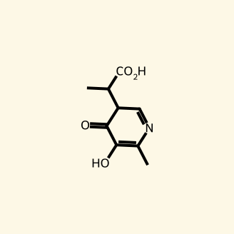 CC1=C(O)C(=O)C(C(C)C(=O)O)C=N1